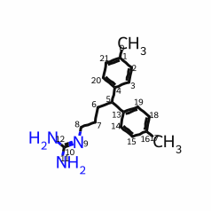 Cc1ccc(C(CCCN=C(N)N)c2ccc(C)cc2)cc1